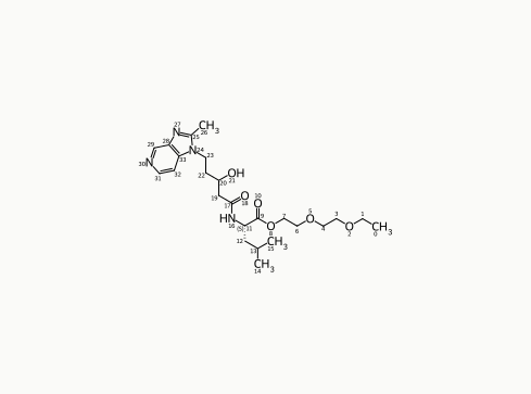 CCOCCOCCOC(=O)[C@H](CC(C)C)NC(=O)CC(O)CCn1c(C)nc2cnccc21